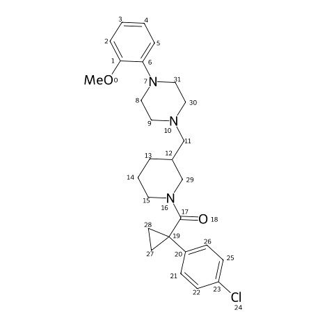 COc1ccccc1N1CCN(CC2CCCN(C(=O)C3(c4ccc(Cl)cc4)CC3)C2)CC1